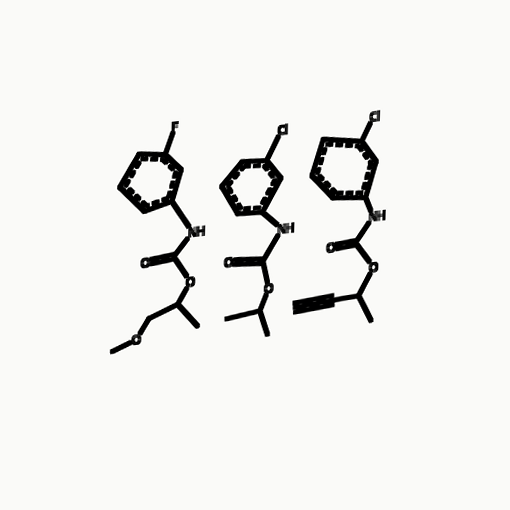 C#CC(C)OC(=O)Nc1cccc(Cl)c1.CC(C)OC(=O)Nc1cccc(Cl)c1.COCC(C)OC(=O)Nc1cccc(F)c1